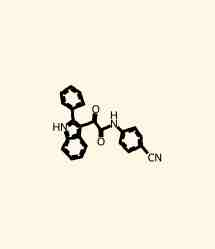 N#Cc1ccc(NC(=O)C(=O)c2c(-c3ccccc3)[nH]c3ccccc23)cc1